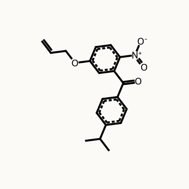 C=CCOc1ccc([N+](=O)[O-])c(C(=O)c2ccc(C(C)C)cc2)c1